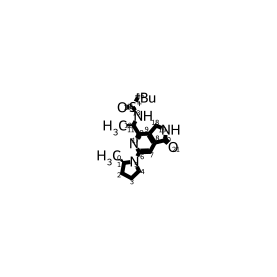 C[C@@H]1CCCN1c1cc2c(c([C@@H](C)N[S+]([O-])C(C)(C)C)n1)CNC2=O